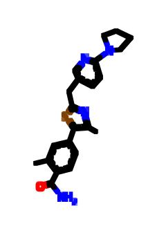 Cc1cc(-c2sc(Cc3ccc(N4CCCC4)nc3)nc2C)ccc1C(N)=O